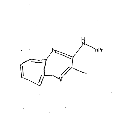 CCCNc1nc2ccccc2nc1C